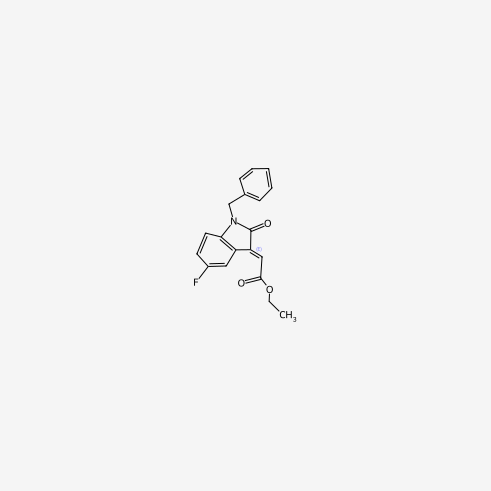 CCOC(=O)/C=C1/C(=O)N(Cc2ccccc2)c2ccc(F)cc21